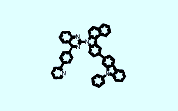 c1ccc(-n2c3ccccc3c3ccc(-c4ccc5c(c4)c4c6ccccc6ccc4n5-c4nc(-c5ccc(-c6ccccn6)cc5)c5ccccc5n4)cc32)cc1